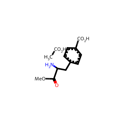 CC(=O)O.COC(=O)C(N)Cc1ccc(C(=O)O)cc1